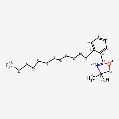 CC1(C)COC(c2ccccc2CCCCCCCCCCCC(F)(F)F)=N1